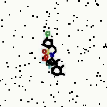 COC(=O)C(C(C)c1c(F)ccc(C)c1C)N1CCc2cc(Cl)ccc2S1(=O)=O